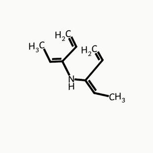 C=C/C(=C\C)N/C(C=C)=C/C